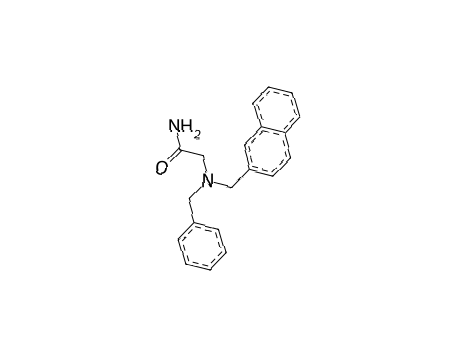 NC(=O)CN(Cc1ccccc1)Cc1ccc2ccccc2c1